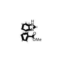 COC(=O)c1ccccc1.c1ccc2[nH]cnc2c1